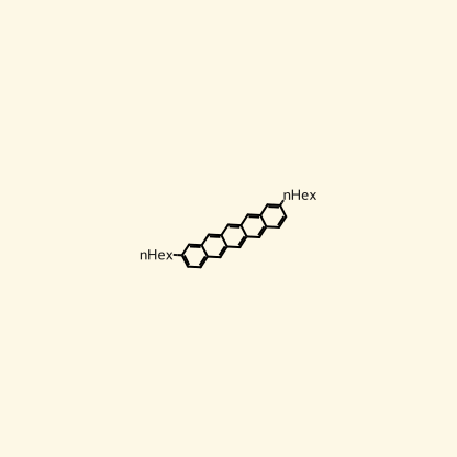 CCCCCCc1ccc2cc3cc4cc5ccc(CCCCCC)cc5cc4cc3cc2c1